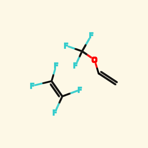 C=COC(F)(F)F.FC(F)=C(F)F